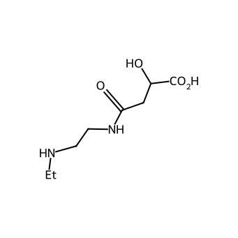 CCNCCNC(=O)CC(O)C(=O)O